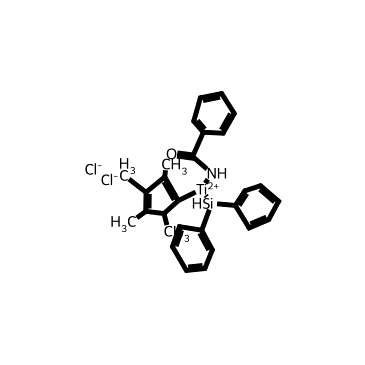 CC1=C(C)C(C)[C]([Ti+2]([NH]C(=O)c2ccccc2)[SiH](c2ccccc2)c2ccccc2)=C1C.[Cl-].[Cl-]